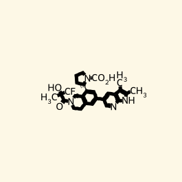 Cc1[nH]c2ncc(-c3cc4c(c([C@@H]5CCCN5C(=O)O)c3)CN(C(=O)C(C)(O)C(F)(F)F)CC4)cc2c1C